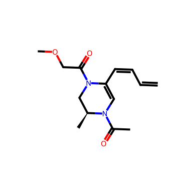 C=C/C=C\C1=CN(C(C)=O)[C@@H](C)CN1C(=O)COC